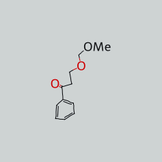 COCOCCC(=O)c1ccccc1